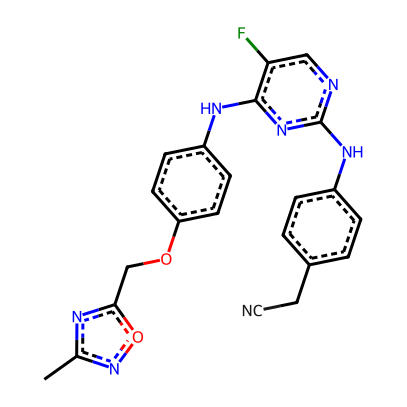 Cc1noc(COc2ccc(Nc3nc(Nc4ccc(CC#N)cc4)ncc3F)cc2)n1